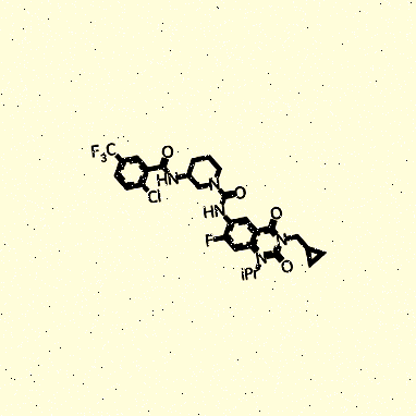 CC(C)n1c(=O)n(CC2CC2)c(=O)c2cc(NC(=O)N3CCCC(NC(=O)c4cc(C(F)(F)F)ccc4Cl)C3)c(F)cc21